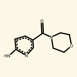 [NH]c1ccc(C(=O)N2CCOCC2)cn1